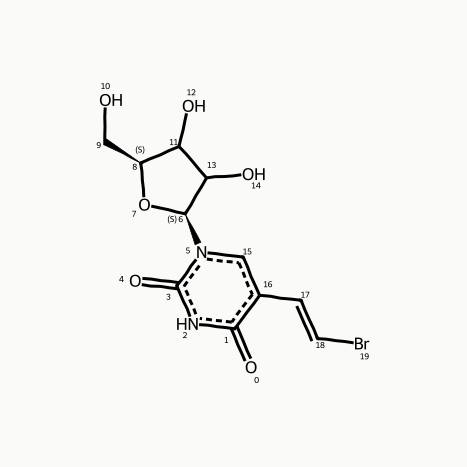 O=c1[nH]c(=O)n([C@H]2O[C@@H](CO)C(O)C2O)cc1C=CBr